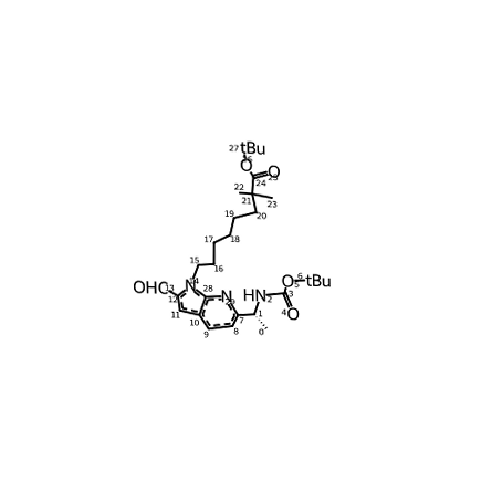 C[C@@H](NC(=O)OC(C)(C)C)c1ccc2cc(C=O)n(CCCCCCC(C)(C)C(=O)OC(C)(C)C)c2n1